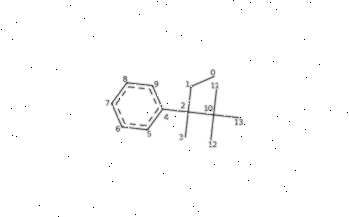 CCC(C)(c1ccccc1)C(C)(C)C